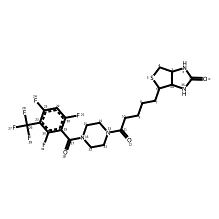 O=C1NC2CSC(CCCCC(=O)N3CCN(C(=O)c4c(F)cc(F)c(C(F)(F)F)c4F)CC3)C2N1